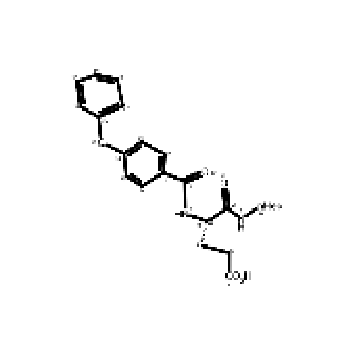 CCCCCCNC(=O)[C@H](CCC(=O)O)NC(=O)c1ccc(Oc2ccccc2)cc1